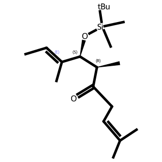 C/C=C(\C)[C@@H](O[Si](C)(C)C(C)(C)C)[C@@H](C)C(=O)CC=C(C)C